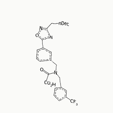 CCCCCCCCCCCc1noc(-c2cccc(CN(Cc3cccc(C(F)(F)F)c3)C(=O)C(=O)O)c2)n1